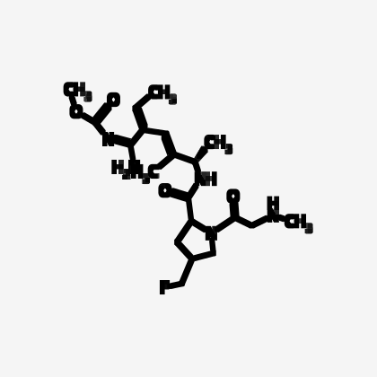 C/C=C(\C=C(/C)[C@@H](C)NC(=O)C1CC(CF)CN1C(=O)CNC)C(/N)=N\C(=O)OC